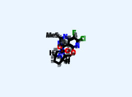 CSc1nc2c3c(nc(Cl)c(F)c3n1)OC[C@@H]1[C@@H]3CC[C@H](CN21)N3C(=O)OC(C)(C)C